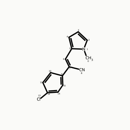 Cn1cccc1C=C(C#N)c1ccc(Cl)cc1